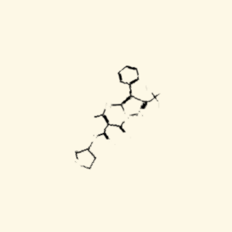 Cc1[nH]c2c(-c3ccccc3)c(C(F)(F)F)nn2c(=O)c1C(=O)NC1CCNC1